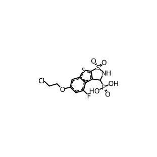 O=P(O)(O)C1NS(=O)(=O)c2sc3cc(OCCCl)cc(F)c3c21